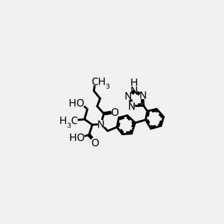 CCCCC(=O)N(Cc1ccc(-c2ccccc2-c2nn[nH]n2)cc1)C(C(=O)O)C(C)CO